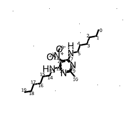 CCCCCCNc1nc(C)nc(NCCCCCC)c1[N+](=O)[O-]